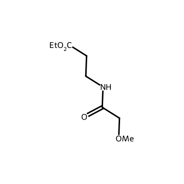 CCOC(=O)CCNC(=O)COC